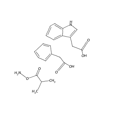 CC(C)C(=O)ON.O=C(O)Cc1c[nH]c2ccccc12.O=C(O)Cc1ccccc1